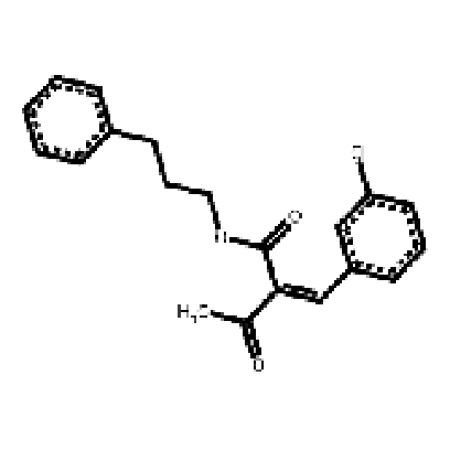 CC(=O)C(=Cc1cccc(Cl)c1)C(=O)OCCCc1ccccc1